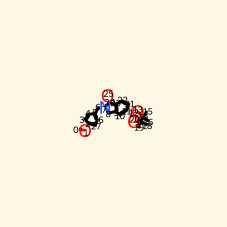 COc1ccc(CN2Cc3cc(B4OC(C)(C)C(C)(C)O4)ccc3C2=O)cc1